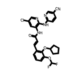 N#Cc1ccc(Nc2ncc(Cl)cc2NC(=O)/C=C/c2cccc(OC(F)F)c2OC2CCCC2)nc1